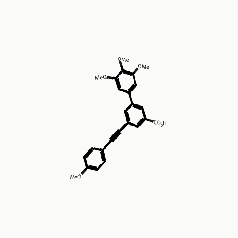 COc1ccc(C#Cc2cc(C(=O)O)cc(-c3cc(OC)c(OC)c(OC)c3)c2)cc1